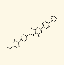 CCc1cnc(N2CCC(COc3c(F)cc(-c4cnc(N5CCCC5)nc4)cc3F)CC2)nc1